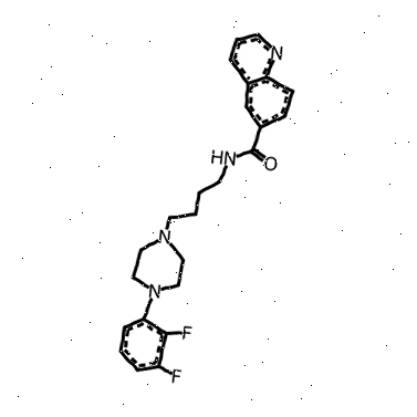 O=C(NCCCCN1CCN(c2cccc(F)c2F)CC1)c1ccc2ncccc2c1